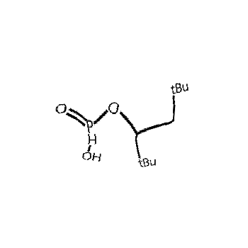 CC(C)(C)CC(O[PH](=O)O)C(C)(C)C